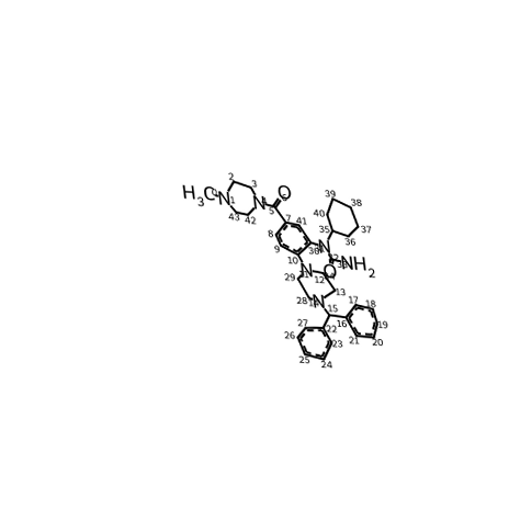 CN1CCN(C(=O)c2ccc(N3CCN(C(c4ccccc4)c4ccccc4)CC3)c(N(C(N)=O)C3CCCCC3)c2)CC1